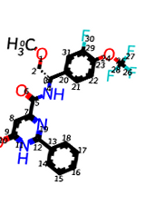 COC[C@@H](NC(=O)c1cc(=O)[nH]c(-c2ccccc2)n1)c1ccc(OC(F)(F)F)c(F)c1